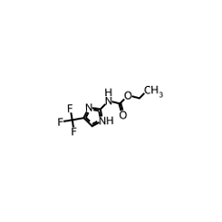 CCOC(=O)Nc1nc(C(F)(F)F)c[nH]1